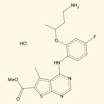 COC(=O)c1sc2ncnc(Nc3ccc(F)cc3OC(C)CCN)c2c1C.Cl